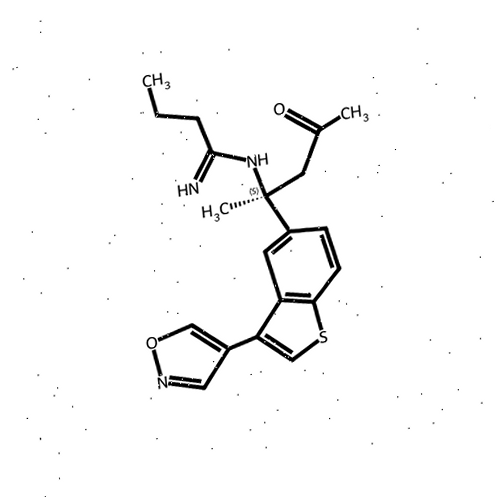 CCCC(=N)N[C@@](C)(CC(C)=O)c1ccc2scc(-c3cnoc3)c2c1